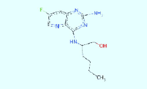 CCCC[C@@H](CO)Nc1nc(N)nc2cc(F)cnc12